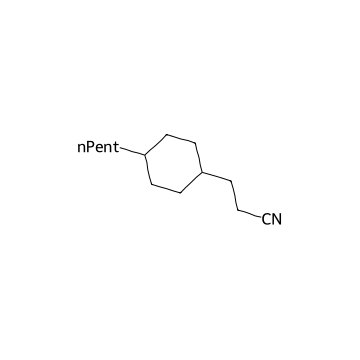 CCCCCC1CCC(CCC#N)CC1